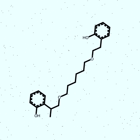 CC(COCCCCCCOCCc1ccccc1O)c1ccccc1O